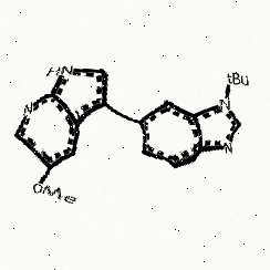 COc1cnc2[nH]cc(-c3ccc4ncn(C(C)(C)C)c4c3)c2c1